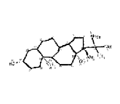 CCCCCC[C@](C)(O)[C@@]1(N)CCC2C3CCC4C[C@@H](O)CC[C@]4(C)C3CC[C@@]21C